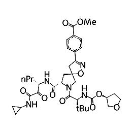 CCC[C@H](NC(=O)[C@@H]1C[C@]2(CC(c3ccc(C(=O)OC)cc3)=NO2)CN1C(=O)[C@@H](NC(=O)O[C@H]1CCOC1)C(C)(C)C)C(=O)C(=O)NC1CC1